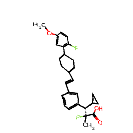 COc1ccc(F)c(C2CCC(/C=C/c3cccc([C@H](C4CC4)C(C)(F)C(=O)O)c3)CC2)c1